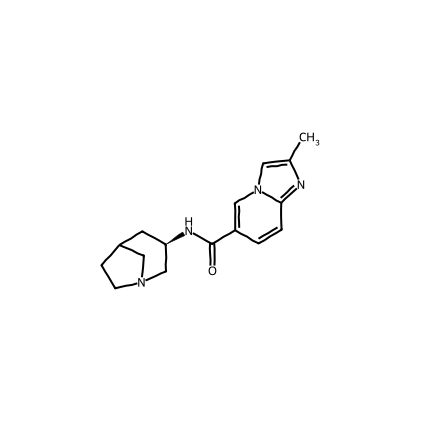 Cc1cn2cc(C(=O)N[C@@H]3CC4CCN(C4)C3)ccc2n1